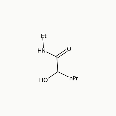 CCCC(O)C(=O)NCC